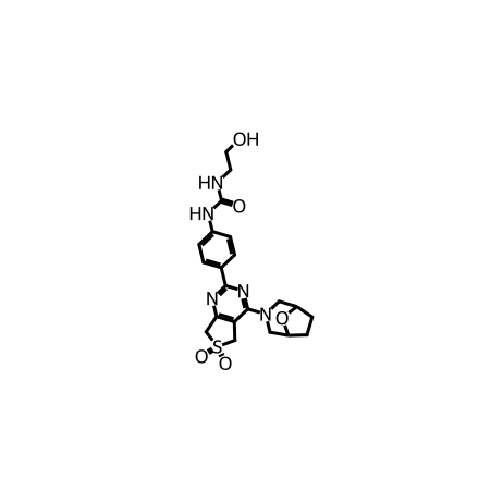 O=C(NCCO)Nc1ccc(-c2nc3c(c(N4CC5CCC(C4)O5)n2)CS(=O)(=O)C3)cc1